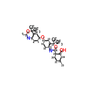 CC1=Nc2ccc(Oc3ccc4c(c3)C(C(F)(F)F)(C(F)(F)F)OC(c3ccc(C)cc3O)=N4)cc2C(C(F)(F)F)(C(F)(F)F)O1